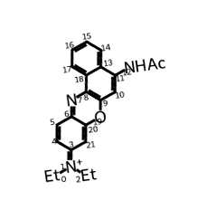 CC[N+](CC)=c1ccc2nc3c(cc(NC(C)=O)c4ccccc43)oc-2c1